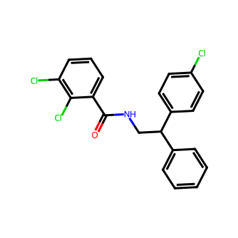 O=C(NCC(c1ccccc1)c1ccc(Cl)cc1)c1cccc(Cl)c1Cl